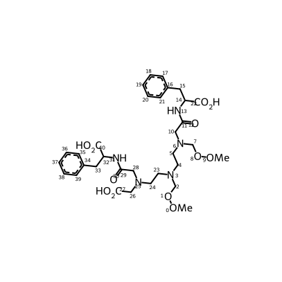 COOCN(CCN(COOC)CC(=O)NC(Cc1ccccc1)C(=O)O)CCN(CC(=O)O)CC(=O)NC(Cc1ccccc1)C(=O)O